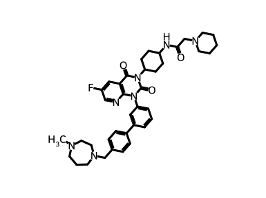 CN1CCCN(Cc2ccc(-c3cccc(-n4c(=O)n(C5CCC(NC(=O)CN6CCCCC6)CC5)c(=O)c5cc(F)cnc54)c3)cc2)CC1